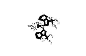 C[C](C)=[Zr]([CH]1C=C(C(C)(C)C)c2ccccc21)[CH]1C=C(C(C)(C)C)c2ccccc21.Cl.Cl